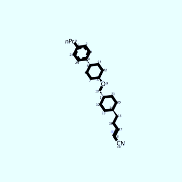 CCCc1ccc([C@H]2CC[C@H](OC[C@H]3CC[C@H](CC/C=C/C#N)CC3)CC2)cc1